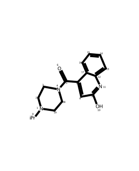 CC(C)N1CCN(C(=O)c2cc(O)nc3ccccc23)CC1